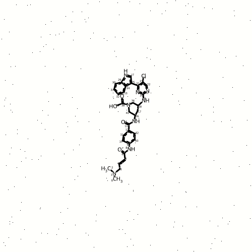 CN(C)C/C=C/C(=O)Nc1ccc(C(=O)NC2CC(Nc3ncc(Cl)c(-c4c[nH]c5ccccc45)n3)CN(C(=O)O)C2)cc1